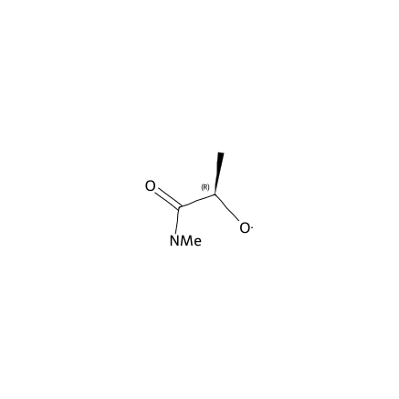 CNC(=O)[C@@H](C)[O]